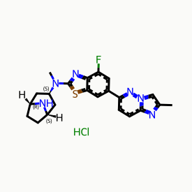 Cc1cn2nc(-c3cc(F)c4nc(N(C)[C@@H]5C[C@H]6CC[C@@H](C5)N6)sc4c3)ccc2n1.Cl